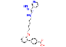 N=N/C(=C\NCCCCCCOc1ccccc1-c1ccc(C(=O)O)cc1)c1cccnc1